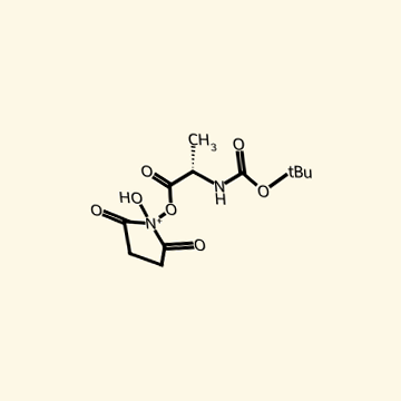 C[C@H](NC(=O)OC(C)(C)C)C(=O)O[N+]1(O)C(=O)CCC1=O